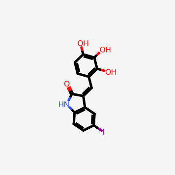 O=C1Nc2ccc(I)cc2C1=Cc1ccc(O)c(O)c1O